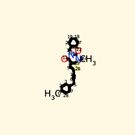 Cc1ccc(CC#Cc2cc3c(=O)n(Cc4ccccc4)c(=O)n(C)c3s2)cc1